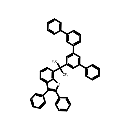 FC(F)(F)C(c1cc(-c2ccccc2)cc(-c2cccc(-c3ccccc3)c2)c1)(c1cccc2c(-c3ccccc3)c(-c3ccccc3)oc12)C(F)(F)F